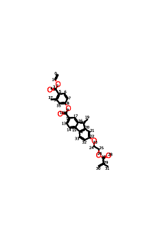 C=COC(=O)c1ccc(OC(=O)c2ccc3c(c2)C(C)c2cc(OCCOC(=O)C(=C)C)ccc2-3)cc1C